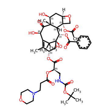 CC(=O)O[C@@]12CO[C@@H]1C[C@H](O)[C@@]1(C)C(=O)[C@H](O)C3=C(C)[C@@H](OC(=O)[C@@H](CNC(=O)OC(C)(C)C)OC(=O)CCN4CCOCC4)C[C@@](O)([C@@H](OC(=O)c4ccccc4)[C@@H]21)C3(C)C